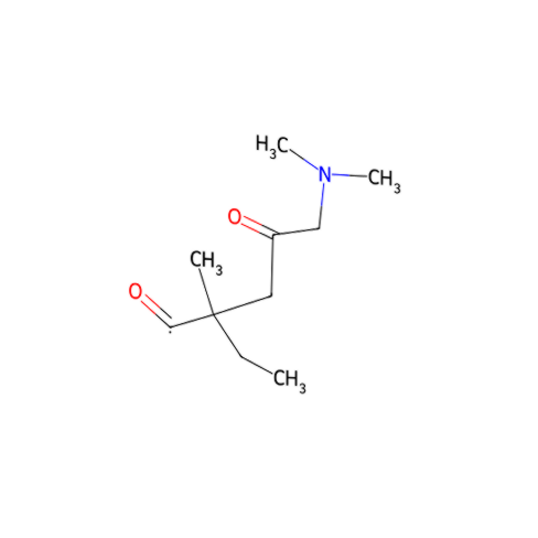 CCC(C)([C]=O)CC(=O)CN(C)C